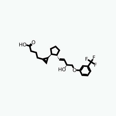 O=C(O)CCCC1=CC1[C@H]1CCC[C@@H]1/C=C/[C@@H](O)COc1cccc(C(F)(F)F)c1